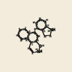 C1=Cc2c(ccc3ccccc23)ON1.c1ccc2c(c1)CCN2